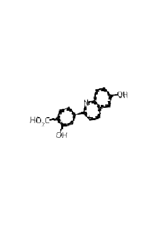 O=C(O)c1ccc(-c2ccc3cc(O)ccc3n2)cc1O